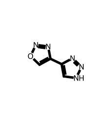 c1[nH]nnc1-c1conn1